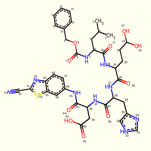 CC(C)CC(NC(=O)OCc1ccccc1)C(=O)NC(CCC(O)O)C(=O)NC(Cc1c[nH]cn1)C(=O)NC(CC(=O)O)C(=O)Nc1ccc2nc(C#N)sc2c1